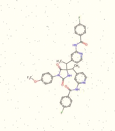 CC(c1ccnc(NC(=O)c2ccc(F)cc2)c1)C1(C(C)c2ccnc(NC(=O)c3ccc(F)cc3)c2)NC(=O)N(c2ccc(OC(F)(F)F)cc2)C1=O